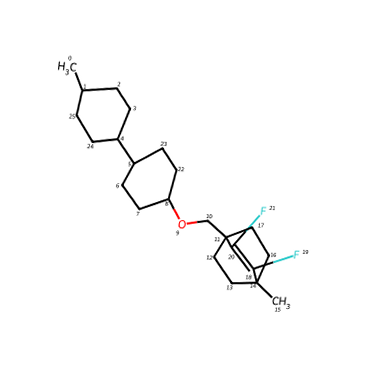 CC1CCC(C2CCC(OCC34CCC(C)(CC3)C(F)=C4F)CC2)CC1